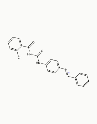 O=C(NC(=O)c1ccccc1Cl)Nc1ccc(/N=C/c2ccccc2)cc1